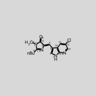 CCCCC1=NC(=Cc2c[nH]c3ncc(Cl)cc23)C(=O)N1C